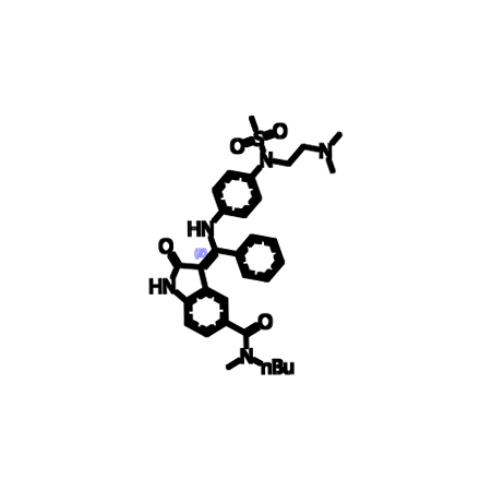 CCCCN(C)C(=O)c1ccc2c(c1)/C(=C(/Nc1ccc(N(CCN(C)C)S(C)(=O)=O)cc1)c1ccccc1)C(=O)N2